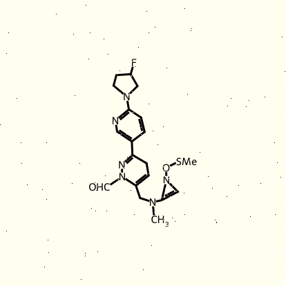 CSON1C=C1N(C)CC1=CCC(c2ccc(N3CCC(F)C3)nc2)=NN1C=O